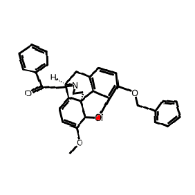 COC1=CC=C2[C@H]3Cc4ccc(OCc5ccccc5)c5c4[C@@]2(CCN3C(=O)c2ccccc2)[C@H]1O5